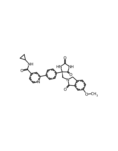 COc1ccc2c(c1)C(=O)N(C[C@@]1(c3ccc(-c4cc(C(=O)NC5CC5)ccn4)cc3)NC(=O)NC1=O)C2